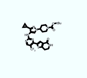 CC(C)(C)OC(=O)N1CCC(n2cc(Nc3ncc(C(F)(F)F)c(-c4cc5c(s4)CCNC5=O)n3)c(C3CC3)n2)CC1